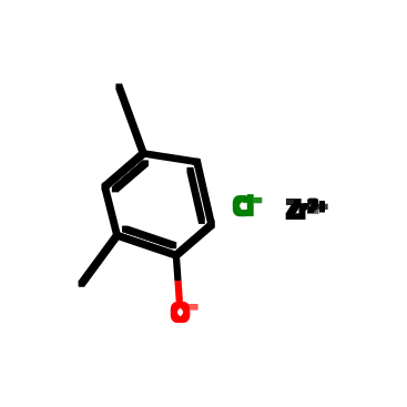 Cc1ccc([O-])c(C)c1.[Cl-].[Zr+2]